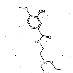 CCO[C@H](CO)CCNC(=O)c1ccc(OC)c(O)c1